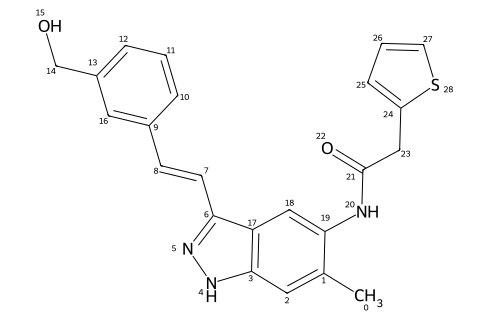 Cc1cc2[nH]nc(C=Cc3cccc(CO)c3)c2cc1NC(=O)Cc1cccs1